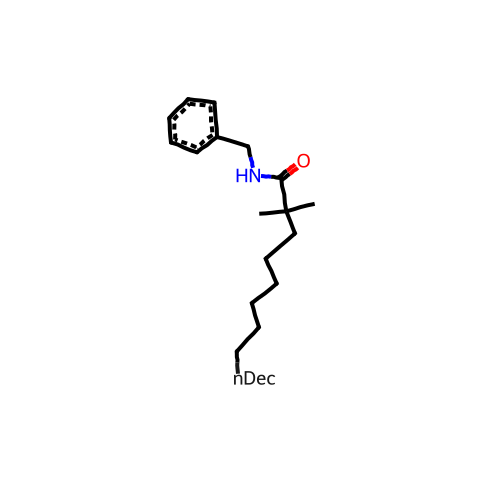 CCCCCCCCCCCCCCCCC(C)(C)C(=O)NCc1ccccc1